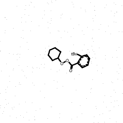 CC(C)(C)c1ccccc1C(=O)OOC1CCCCC1